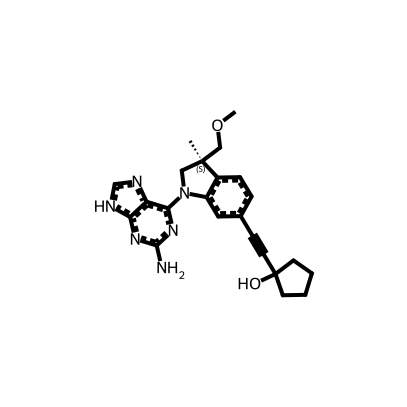 COC[C@]1(C)CN(c2nc(N)nc3[nH]cnc23)c2cc(C#CC3(O)CCCC3)ccc21